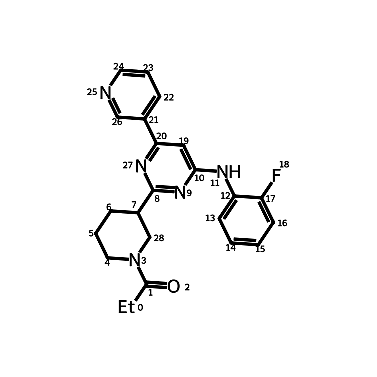 CCC(=O)N1CCCC(c2nc(Nc3ccccc3F)cc(-c3cccnc3)n2)C1